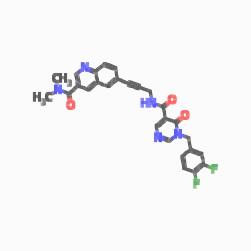 CN(C)C(=O)c1cnc2ccc(C#CCNC(=O)c3cncn(Cc4ccc(F)c(F)c4)c3=O)cc2c1